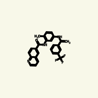 C=C(Nc1ccc(C)c(NC(=O)c2ccc3ncccc3c2)c1)c1cccc(C(F)(F)F)c1